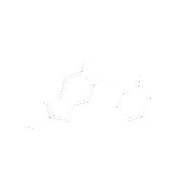 CSc1nc2cc(Oc3ccc(Cl)cc3Cl)c(Cl)cc2[nH]1